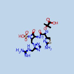 CC(C)(O/N=C(\C(=O)NC1C(=O)N(S(=O)(=O)O)C1Cn1ncnc1CNC(=N)N)c1csc(N)n1)C(=O)O